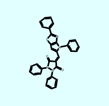 O=C1C(=Cc2cc3sc(-c4ccccc4)nc3n2-c2ccccc2)C(=O)N(c2ccccc2)N1c1ccccc1